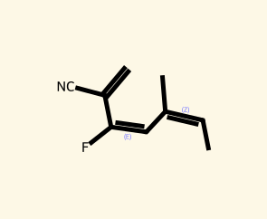 C=C(C#N)/C(F)=C\C(C)=C/C